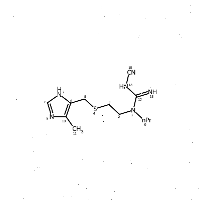 CCCN(CCSCc1[nH]cnc1C)C(=N)NC#N